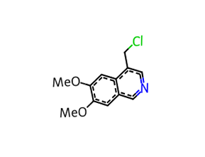 COc1cc2cncc(CCl)c2cc1OC